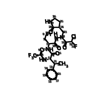 CC(C)C[C@H](NC(=O)[C@@H](NC(=O)C(F)(F)F)C(C)c1ccccc1)C(=O)NN(C[C@@H]1CCNC1=O)C(=O)[C@H](F)Cl